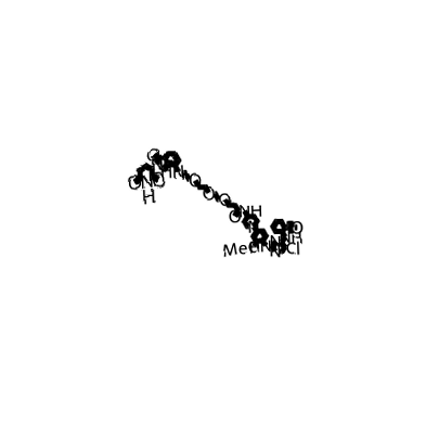 COc1cc(N2CCC(NC(=O)CCOCCOCCOCCNc3cccc4c3CN(C3CCC(=O)NC3=O)C4=O)CC2)ccc1Nc1ncc(Cl)c(Nc2ccccc2P(C)(C)=O)n1